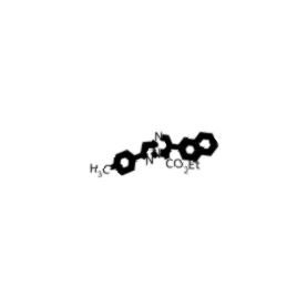 CCOC(=O)c1c(-c2ccc3ccccc3c2)cnc2cc(-c3ccc(C)cc3)nn12